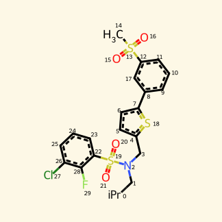 CC(C)CN(Cc1ccc(-c2cccc(S(C)(=O)=O)c2)s1)S(=O)(=O)c1cccc(Cl)c1F